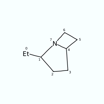 CCC1CCC2CCN12